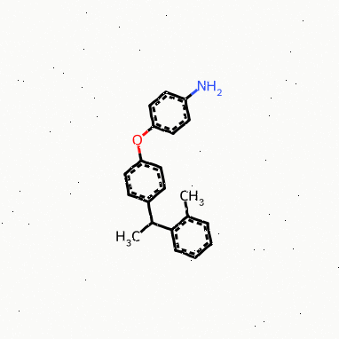 Cc1ccccc1C(C)c1ccc(Oc2ccc(N)cc2)cc1